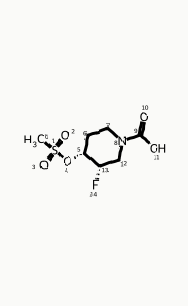 CS(=O)(=O)O[C@@H]1CCN(C(=O)O)C[C@@H]1F